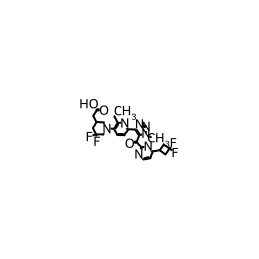 CCc1nc(-c2nnn(C)c2C(=O)c2nccc(C3CC(F)(F)C3)n2)ccc1N1CC(CC(=O)O)CC(F)(F)C1